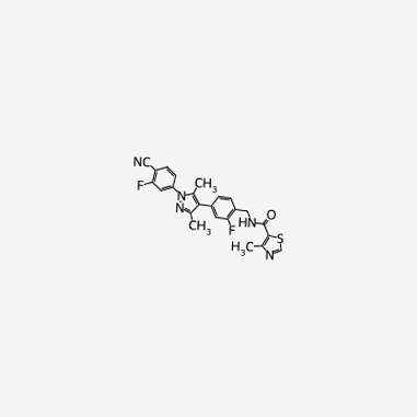 Cc1ncsc1C(=O)NCc1ccc(-c2c(C)nn(-c3ccc(C#N)c(F)c3)c2C)cc1F